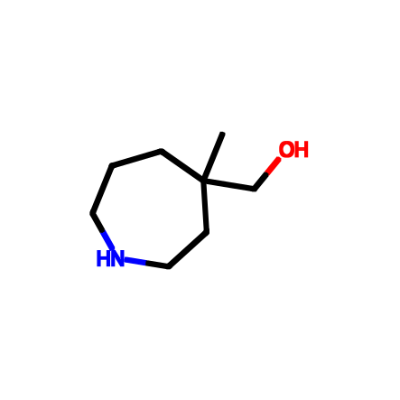 CC1(CO)CCCNCC1